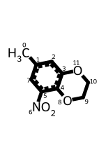 Cc1cc2c(c([N+](=O)[O-])c1)OCCO2